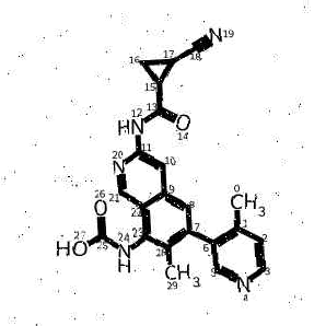 Cc1ccncc1-c1cc2cc(NC(=O)C3CC3C#N)ncc2c(NC(=O)O)c1C